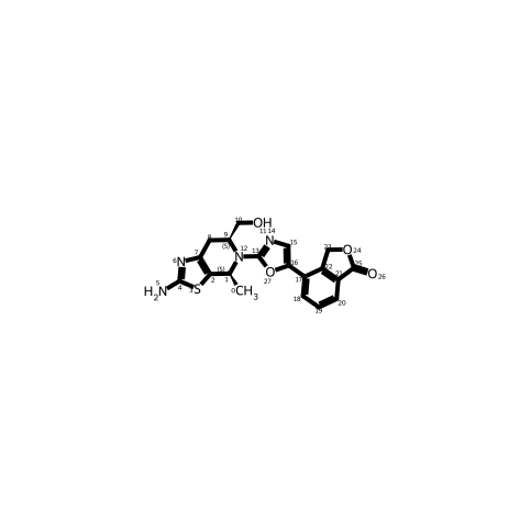 C[C@H]1c2sc(N)nc2C[C@@H](CO)N1c1ncc(-c2cccc3c2COC3=O)o1